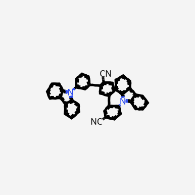 N#Cc1ccc(-n2c3ccccc3c3ccccc32)c(-c2ccc(C#N)c(-c3cccc(-n4c5ccccc5c5ccccc54)c3)c2)c1